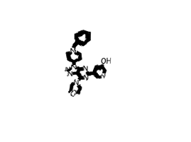 Oc1cncc(-c2nc(N3CCOCC3)c3nnn(C4CCN(Cc5ccccc5)CC4)c3n2)c1